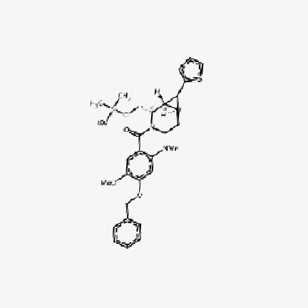 CNc1cc(OCc2ccccc2)c(OC)cc1C(=O)N1CC[C@@H]2C(c3cccs3)[C@H]2[C@H]1CO[Si](C)(C)C(C)(C)C